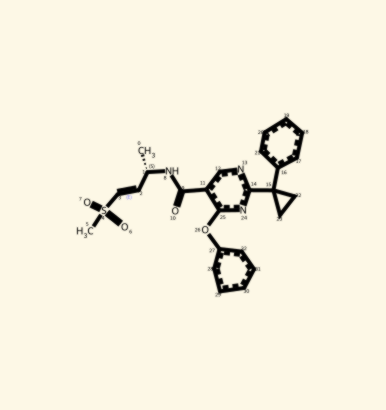 C[C@@H](/C=C/S(C)(=O)=O)NC(=O)c1cnc(C2(c3ccccc3)CC2)nc1Oc1ccccc1